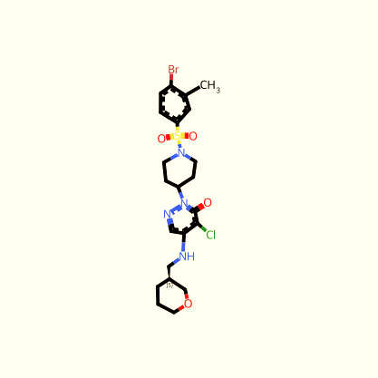 Cc1cc(S(=O)(=O)N2CCC(n3ncc(NC[C@@H]4CCCOC4)c(Cl)c3=O)CC2)ccc1Br